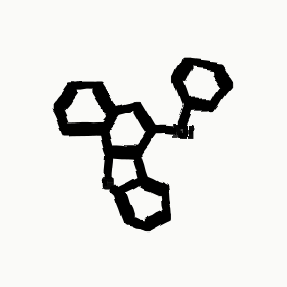 c1ccc(Nc2cc3ccccc3c3oc4ccccc4c23)cc1